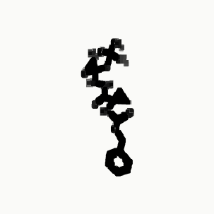 CC(C)(C)OC1(NNC(=O)C2(NC(=O)OCc3ccccc3)CC2)CO1